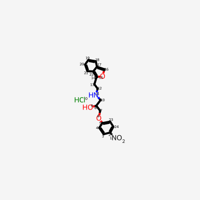 Cl.O=[N+]([O-])c1ccc(OCC(O)CNCCc2occ3ccccc23)cc1